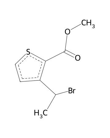 COC(=O)c1sccc1C(C)Br